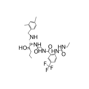 CCC[C@H](O)[C@H](CNCc1ccc(C)cc1C)NC(=O)CNC(=O)c1cc(C(F)(F)F)ccc1NC(=O)NCC